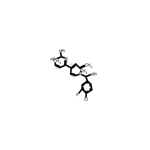 C=C/C=C(\C=C/N(C)C(CCC)c1ccc(Cl)c(F)c1)C(/C=C\C)=N/C(CCC)CCC